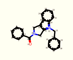 O=C(c1ccccc1)N1Cc2c(n(Cc3ccccc3)c3ccccc23)C1